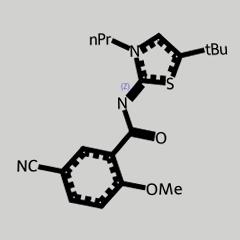 CCCn1cc(C(C)(C)C)s/c1=N\C(=O)c1cc(C#N)ccc1OC